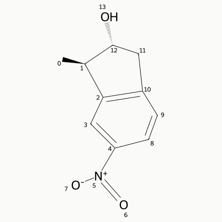 C[C@@H]1c2cc([N+](=O)[O-])ccc2C[C@H]1O